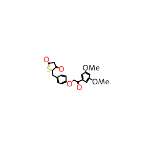 COc1cc(OC)cc(C(=O)COc2ccc(CC3SC(=O)CC3=O)cc2)c1